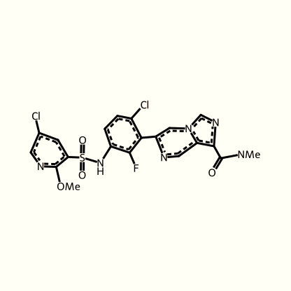 CNC(=O)c1ncn2cc(-c3c(Cl)ccc(NS(=O)(=O)c4cc(Cl)cnc4OC)c3F)ncc12